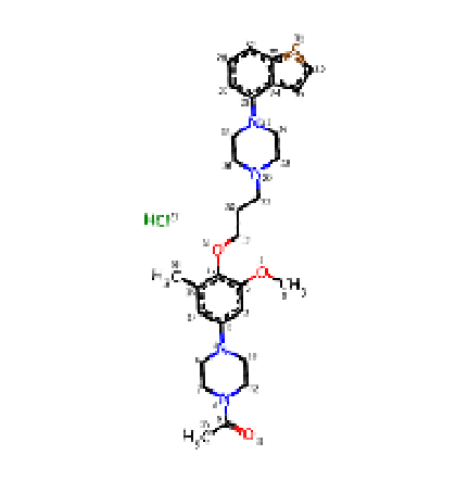 COc1cc(N2CCN(C(C)=O)CC2)cc(C)c1OCCCN1CCN(c2cccc3sccc23)CC1.Cl